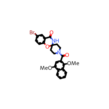 COc1cc(C(=O)N2CCC3(CC2)NC(=O)c2cc(Br)ccc2O3)c(OC)c2ccccc12